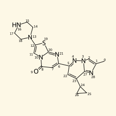 Cc1cn2nc(-c3cc(=O)n4cc(N5CCNCC5)sc4n3)cc(C3CC3)c2n1